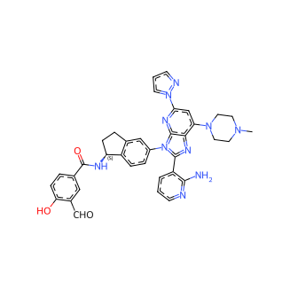 CN1CCN(c2cc(-n3cccn3)nc3c2nc(-c2cccnc2N)n3-c2ccc3c(c2)CC[C@@H]3NC(=O)c2ccc(O)c(C=O)c2)CC1